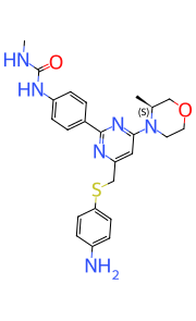 CNC(=O)Nc1ccc(-c2nc(CSc3ccc(N)cc3)cc(N3CCOC[C@@H]3C)n2)cc1